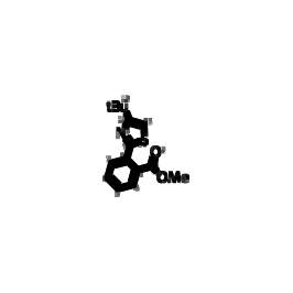 COC(=O)c1ccccc1-c1nc(C(C)(C)C)cs1